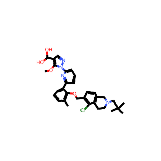 COc1c(C(O)O)cnn1-c1cccc(-c2cccc(C)c2OCc2ccc3c(c2Cl)CCN(CC(C)(C)C)C3)n1